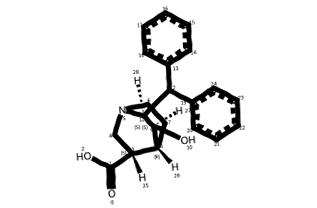 O=C(O)[C@@H]1CN2CC[C@H]1[C@H](O)[C@@H]2C(c1ccccc1)c1ccccc1